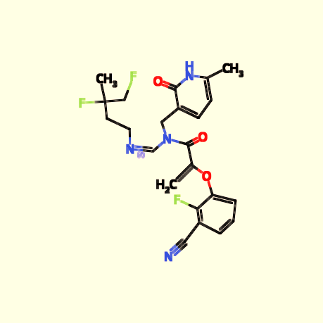 C=C(Oc1cccc(C#N)c1F)C(=O)N(/C=N\CCC(C)(F)CF)Cc1ccc(C)[nH]c1=O